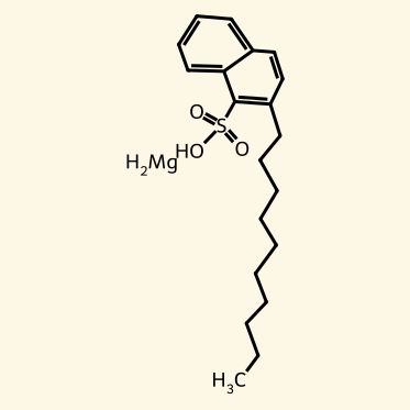 CCCCCCCCCCc1ccc2ccccc2c1S(=O)(=O)O.[MgH2]